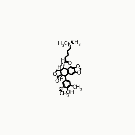 COc1cc(C2c3cc4c(cc3[C@@H](NC(=O)CCCCN(C)C)[C@H]3COC(=O)[C@H]23)OCO4)cc(C)c1O